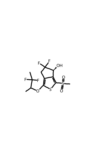 CC(Oc1sc(S(C)(=O)=O)c2c1CC(F)(F)[C@H]2O)C(C)(F)F